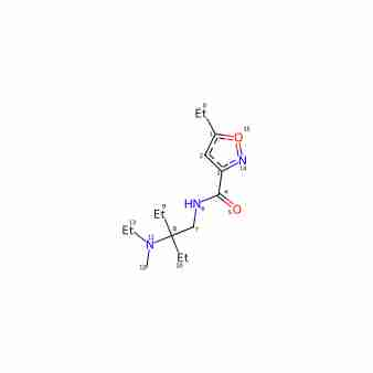 CCc1cc(C(=O)NCC(CC)(CC)N(C)CC)no1